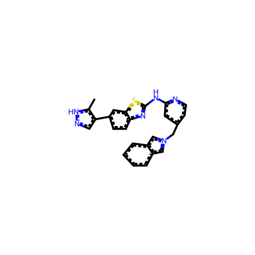 Cc1[nH]ncc1-c1ccc2nc(Nc3cc(Cn4cc5ccccc5c4)ccn3)sc2c1